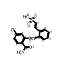 NC(=O)c1ccc(Cl)cc1Br.O=S(=O)(O)C=Cc1ccccc1Cl